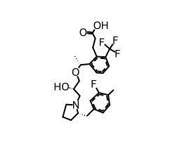 Cc1ccc(C[C@@H]2CCCN2C[C@H](O)CO[C@H](C)c2cccc(C(F)(F)F)c2CCC(=O)O)cc1F